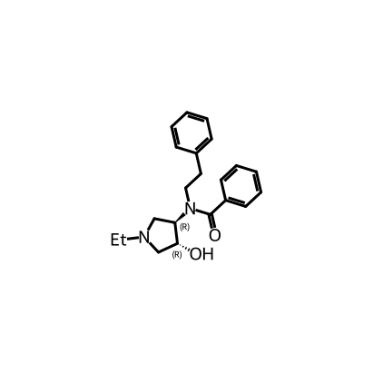 CCN1C[C@@H](O)[C@H](N(CCc2ccccc2)C(=O)c2ccccc2)C1